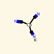 N#[C][Co]([C]#N)[C]#N.[K]